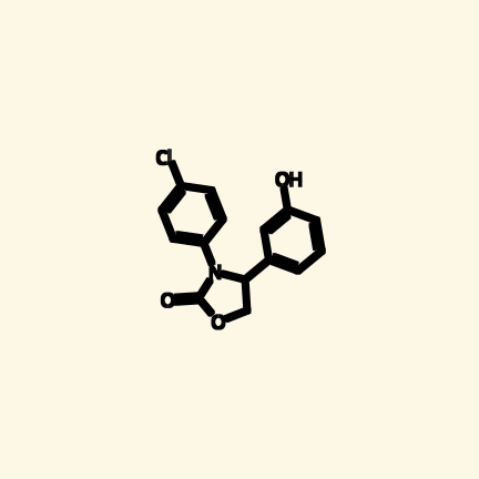 O=C1OCC(c2cccc(O)c2)N1c1ccc(Cl)cc1